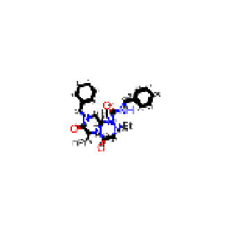 CCC[C@H]1C(=O)N(CC2CCCCC2)C[C@H]2N1C(=O)CN(CC)N2C(=O)NCc1ccccc1